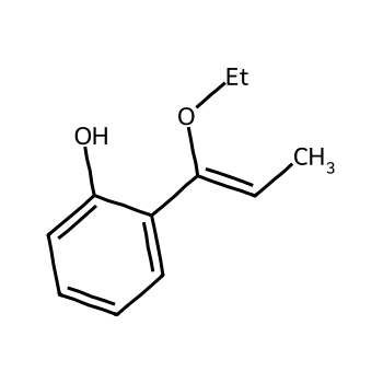 CC=C(OCC)c1ccccc1O